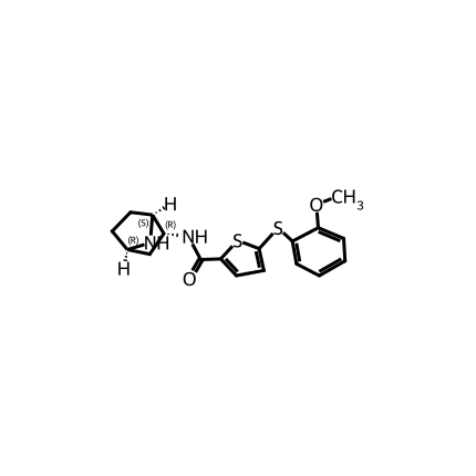 COc1ccccc1Sc1ccc(C(=O)N[C@@H]2C[C@H]3CC[C@@H]2N3)s1